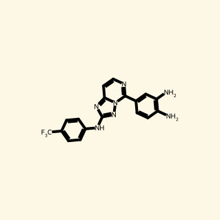 Nc1ccc(-c2nccc3nc(Nc4ccc(C(F)(F)F)cc4)nn23)cc1N